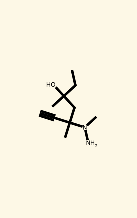 C#CC(C)(CC(C)(O)CC)N(C)N